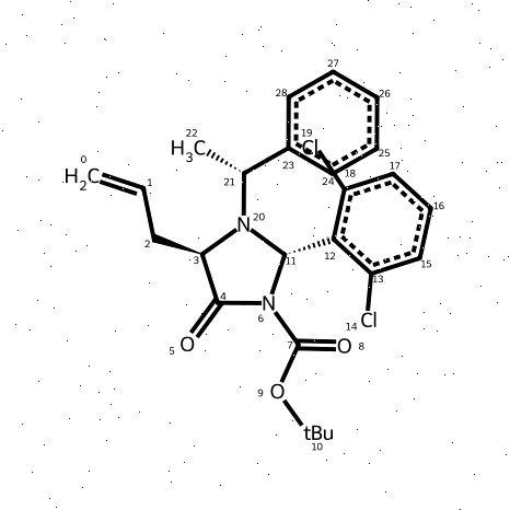 C=CC[C@@H]1C(=O)N(C(=O)OC(C)(C)C)[C@@H](c2c(Cl)cccc2Cl)N1[C@H](C)c1ccccc1